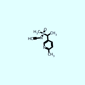 C#CN=S(C)(=O)C(C)c1ccc(C)nc1